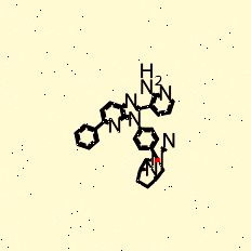 N#CN1CC2CCC(C1)N2Cc1ccc(-n2c(-c3cccnc3N)nc3ccc(-c4ccccc4)nc32)cc1